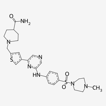 CN1CCN(S(=O)(=O)c2ccc(Nc3cncc(-c4csc(CN5CCC(C(N)=O)CC5)c4)n3)cc2)CC1